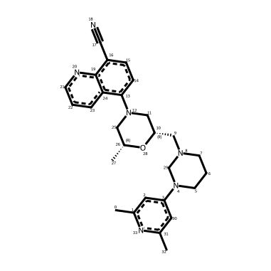 Cc1cc(N2CCCN(C[C@H]3CN(c4ccc(C#N)c5ncccc45)C[C@@H](C)O3)C2)cc(C)n1